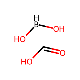 O=CO.OBO